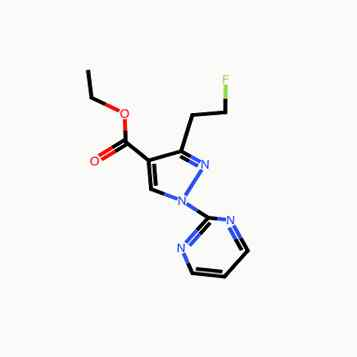 CCOC(=O)c1cn(-c2ncccn2)nc1CCF